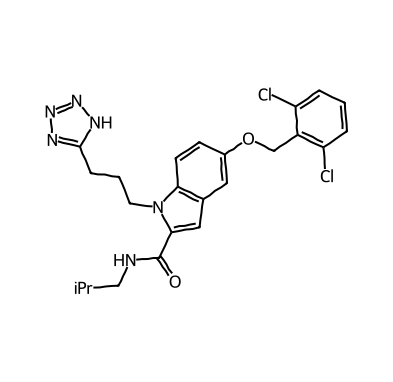 CC(C)CNC(=O)c1cc2cc(OCc3c(Cl)cccc3Cl)ccc2n1CCCc1nnn[nH]1